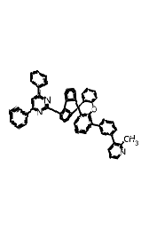 Cc1ncccc1-c1cccc(-c2cccc3c2Oc2ccccc2C32c3ccccc3-c3c(-c4nc(-c5ccccc5)cc(-c5ccccc5)n4)cccc32)c1